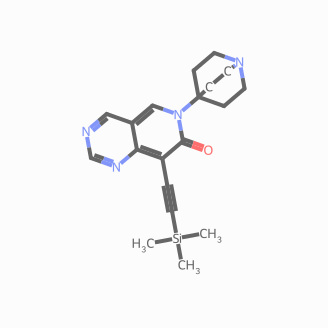 C[Si](C)(C)C#Cc1c(=O)n(C23CCN(CC2)CC3)cc2cncnc12